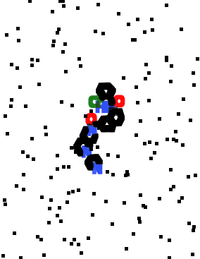 O=C(N[C@@H]1CCCc2ccc(C(=O)N3CCC4(CCCN(c5ccncc5)C4)CC3)cc21)c1ccccc1Cl